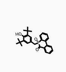 CC(C)(C)c1cc(CP2(=O)C(=O)c3ccccc3-c3ccccc32)cc(C(C)(C)C)c1O